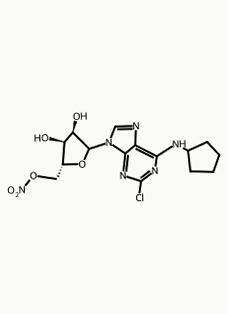 O=[N+]([O-])OC[C@H]1OC(n2cnc3c(NC4CCCC4)nc(Cl)nc32)[C@H](O)[C@@H]1O